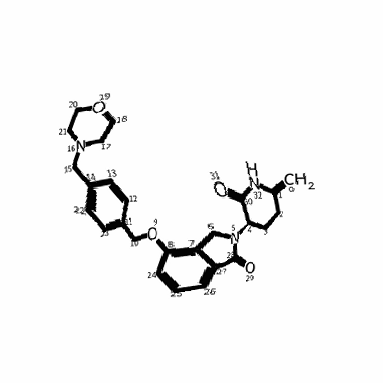 C=C1CC[C@@H](N2Cc3c(OCc4ccc(CN5CCOCC5)cc4)cccc3C2=O)C(=O)N1